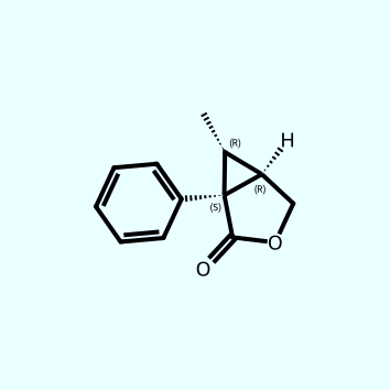 C[C@@H]1[C@H]2COC(=O)[C@@]12c1ccccc1